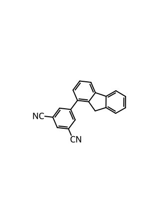 N#Cc1cc(C#N)cc(-c2cccc3c2Cc2ccccc2-3)c1